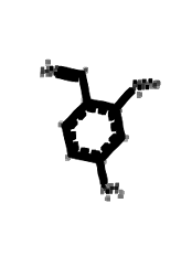 CNc1cc(N)ccc1C=N